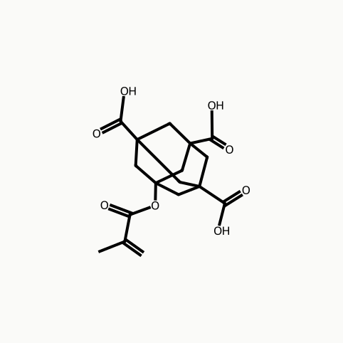 C=C(C)C(=O)OC12CC3(C(=O)O)CC(C(=O)O)(C1)CC(C(=O)O)(C2)C3